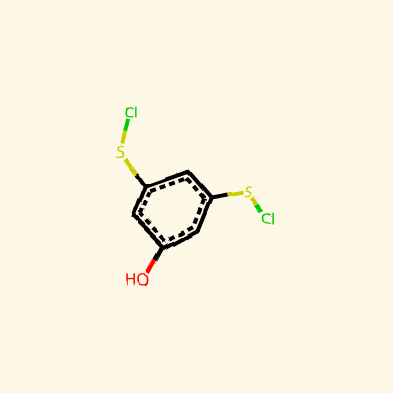 Oc1cc(SCl)cc(SCl)c1